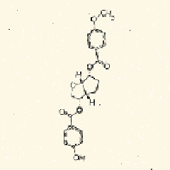 COc1ccc(C(=O)O[C@@H]2CC[C@H]3[C@@H]2OC[C@H]3OC(=O)c2ccc(O)cc2)cc1